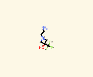 NCCN1CC(O)(C(F)(F)F)C1